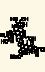 COCC(=O)Nc1c(I)c(C(=O)CC(=O)N(NCCO)c2c(I)c(C(=O)NC(CO)C(O)CO)c(I)c(C(=O)NC(CO)C(O)CO)c2I)c(I)c(C(=O)NCC(O)CO)c1I